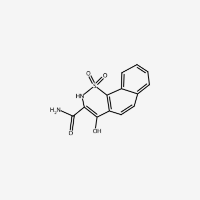 NC(=O)C1=C(O)c2ccc3ccccc3c2S(=O)(=O)N1